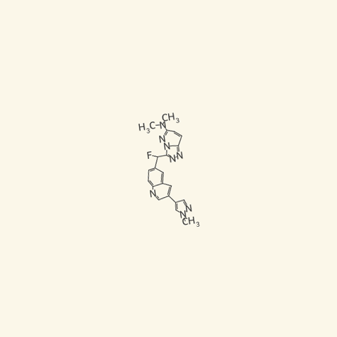 CN(C)c1ccc2nnc(C(F)c3ccc4ncc(-c5cnn(C)c5)cc4c3)n2n1